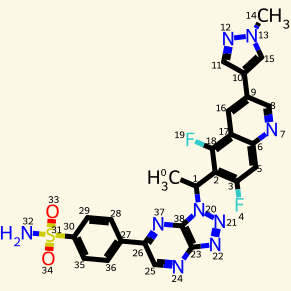 CC(c1c(F)cc2ncc(-c3cnn(C)c3)cc2c1F)n1nnc2ncc(-c3ccc(S(N)(=O)=O)cc3)nc21